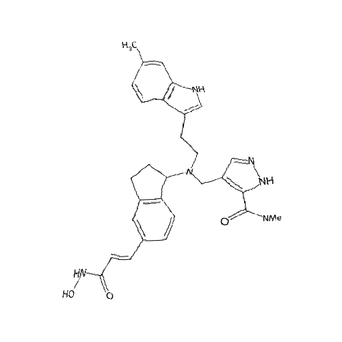 CNC(=O)c1[nH]ncc1CN(CCc1c[nH]c2cc(C)ccc12)C1CCc2cc(/C=C/C(=O)NO)ccc21